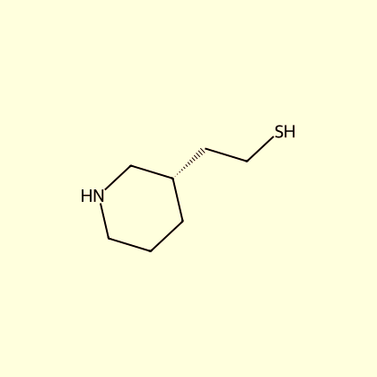 SCC[C@@H]1CCCNC1